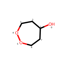 OC1CCOOCC1